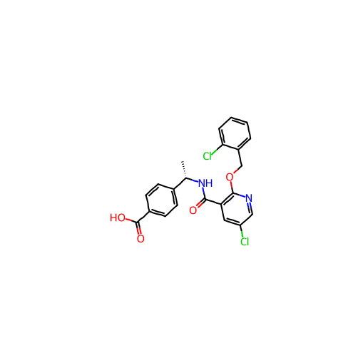 C[C@H](NC(=O)c1cc(Cl)cnc1OCc1ccccc1Cl)c1ccc(C(=O)O)cc1